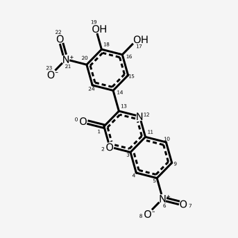 O=c1oc2cc([N+](=O)[O-])ccc2nc1-c1cc(O)c(O)c([N+](=O)[O-])c1